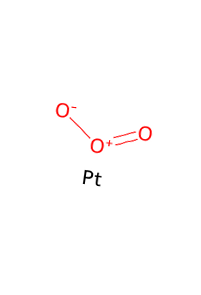 O=[O+][O-].[Pt]